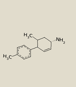 Cc1ccc(C2C=C[C@@H](N)CC2C)cc1